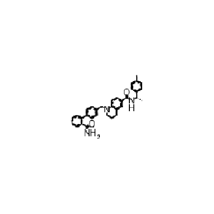 Cc1ccc([C@H](C)NC(=O)c2ccc3c(c2)CCCN3Cc2ccc(-c3ccccc3C(N)=O)cc2)cc1